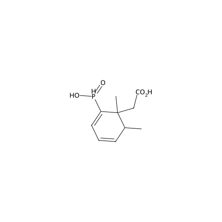 CC1C=CC=C([PH](=O)O)C1(C)CC(=O)O